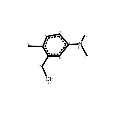 Cc1ccc(N(C)C)cc1CO